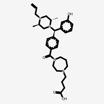 C=CCN1C[C@H](C)N([C@H](c2ccc(C(=O)N3CCCN(CCCC(=O)O)CC3)cc2)c2cccc(O)c2)C[C@H]1C